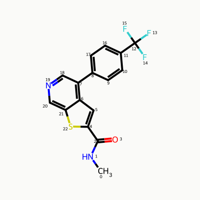 CNC(=O)c1cc2c(-c3ccc(C(F)(F)F)cc3)cncc2s1